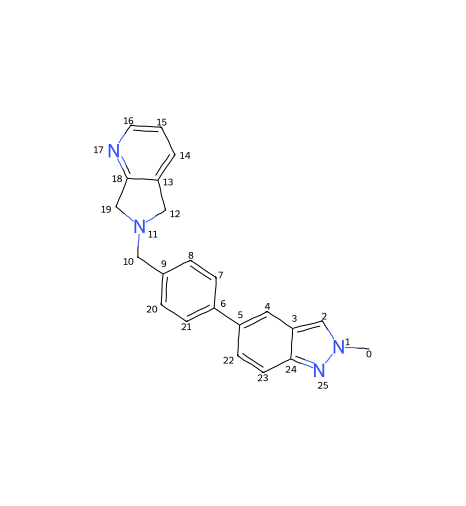 Cn1cc2cc(-c3ccc(CN4Cc5cccnc5C4)cc3)ccc2n1